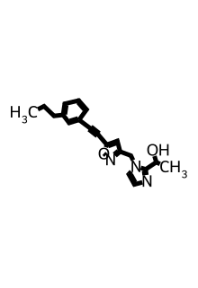 CCCc1cccc(C#Cc2cc(Cn3ccnc3C(C)O)no2)c1